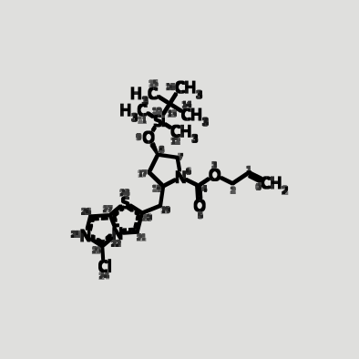 C=CCOC(=O)N1C[C@H](O[Si](C)(C)C(C)(C)C)CC1Cc1cn2c(Cl)ncc2s1